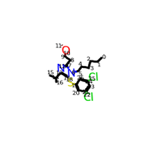 CCCCCCn1c(CCOC)nc(C(C)C)c1Sc1cc(Cl)cc(Cl)c1